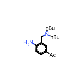 CCCCN(CCCC)Cc1cc(C(C)=O)ccc1N